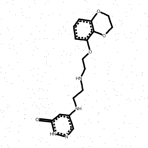 O=c1cc(NCCNCCOc2cccc3c2OCCO3)cn[nH]1